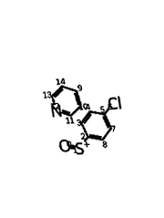 O=[S+]c1ccc(Cl)cc1.c1ccncc1